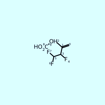 C=C(C)C(F)C(F)F.O=C(O)O